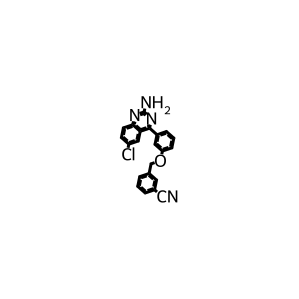 N#Cc1cccc(COc2cccc(-c3nc(N)nc4ccc(Cl)cc34)c2)c1